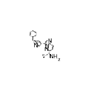 NC(c1ccc2ncc(-c3cnn(Cc4ccccc4)c3)n2n1)C1CC1